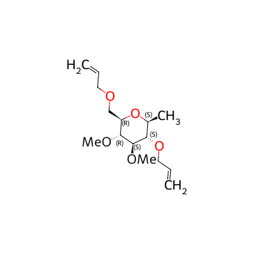 C=CCOC[C@H]1O[C@@H](C)[C@H](OCC=C)[C@@H](OC)[C@@H]1OC